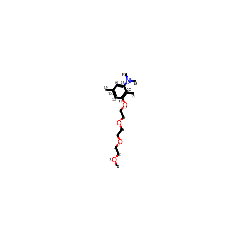 COCCOCCOCCOc1cc(C)cc(N(C)C)c1C